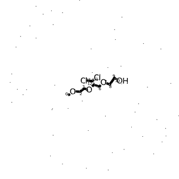 COCCOCCOCCO.ClCCl